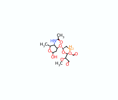 COC(C=O)C(OC=O)O[C@H](CP)OC1CC(O)O[C@@H](C)[C@H]1NC(C)=O